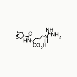 N=C(N)NCCC[C@H](NC(=O)C1CSSC1)C(=O)O